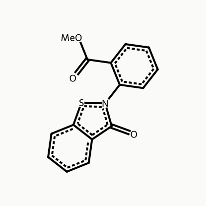 COC(=O)c1ccccc1-n1sc2ccccc2c1=O